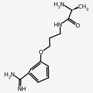 C[C@H](N)C(=O)NCCCOc1cccc(C(=N)N)c1